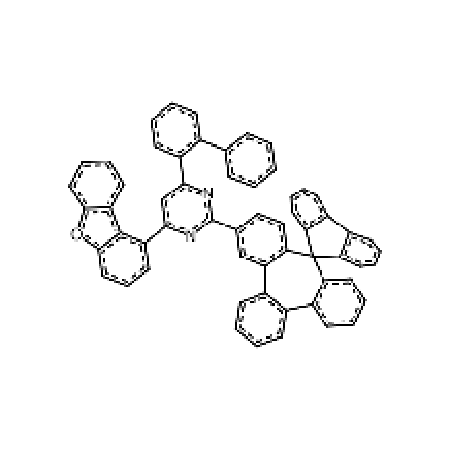 c1ccc(-c2ccccc2-c2cc(-c3cccc4oc5ccccc5c34)nc(-c3ccc4c(c3)-c3ccccc3-c3ccccc3C43c4ccccc4-c4ccccc43)n2)cc1